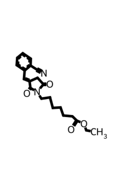 CCOC(=O)CCCCCCN1C(=O)CC(=Cc2ccccc2C#N)C1=O